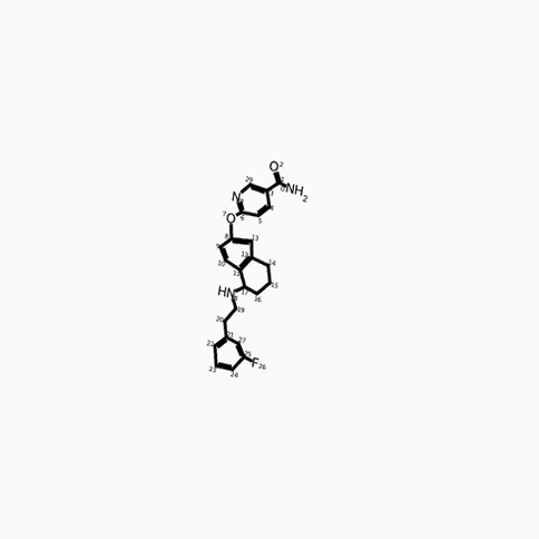 NC(=O)c1ccc(Oc2ccc3c(c2)CCCC3NCCc2cccc(F)c2)nc1